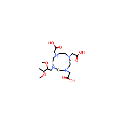 COC(C)C(CN1CCN(CC(=O)O)CCN(CC(=O)O)CCN(CC(=O)O)CC1)OC